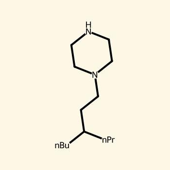 CCCCC(CCC)CCN1CCNCC1